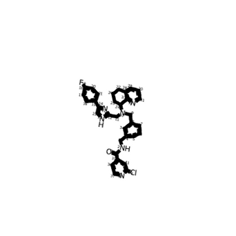 O=C(NCc1cccc(CN(Cc2nc(-c3ccc(F)cc3)c[nH]2)C2CCCc3cccnc32)c1)c1ccnc(Cl)c1